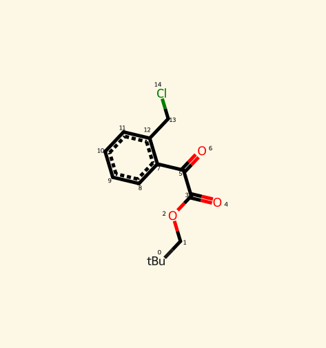 CC(C)(C)COC(=O)C(=O)c1ccccc1CCl